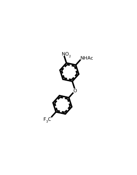 CC(=O)Nc1cc(Oc2ccc(C(F)(F)F)cc2)ccc1[N+](=O)[O-]